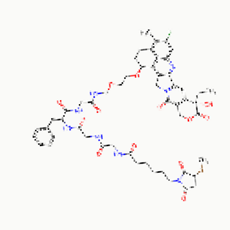 CC[C@@]1(O)C(=O)OCc2c1cc1n(c2=O)Cc2c-1nc1cc(F)c(C)c3c1c2[C@@H](OCCOCNC(=O)CNC(=O)[C@H](Cc1ccccc1)NC(=O)CNC(=O)CNC(=O)CCCCCN1C(=O)CC(SC)C1=O)CC3